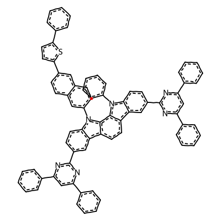 c1ccc(-c2cc(-c3ccccc3)nc(-c3ccc4c(c3)c3ccc5c6cc(-c7nc(-c8ccccc8)cc(-c8ccccc8)n7)ccc6n(-c6ccc7cc(-c8ccc(-c9ccccc9)s8)ccc7c6)c5c3n4-c3ccccc3)n2)cc1